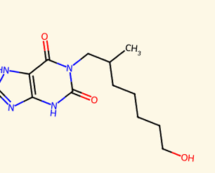 CC(CCCCCO)Cn1c(=O)[nH]c2nc[nH]c2c1=O